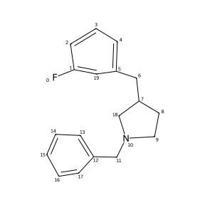 Fc1cccc(CC2CCN(Cc3ccccc3)C2)c1